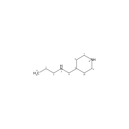 CCCNCC1CCNCC1